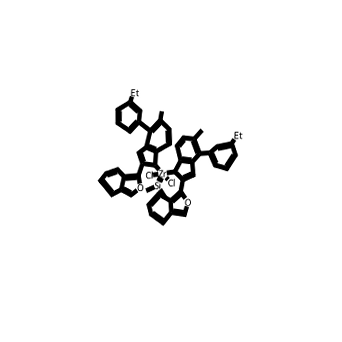 CCc1cccc(-c2c(C)ccc3c2C=C(c2occ4ccccc24)[CH]3[Zr]([Cl])([Cl])([CH]2C(c3occ4ccccc34)=Cc3c2ccc(C)c3-c2cccc(CC)c2)=[Si](C)C)c1